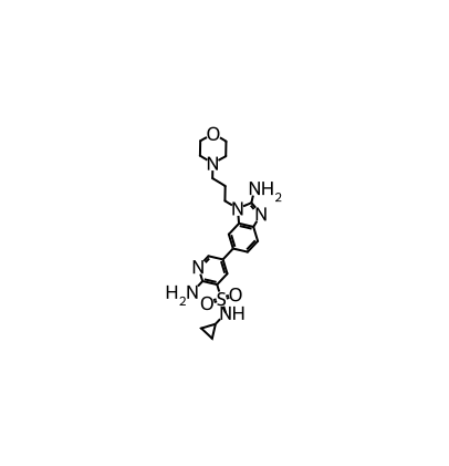 Nc1ncc(-c2ccc3nc(N)n(CCCN4CCOCC4)c3c2)cc1S(=O)(=O)NC1CC1